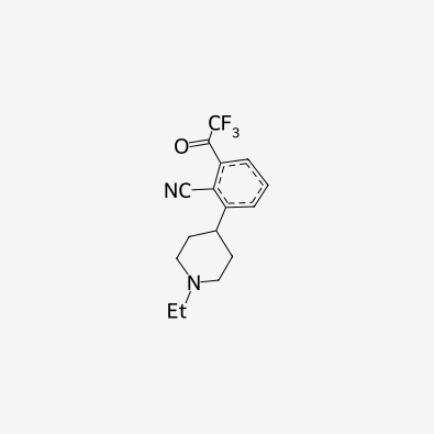 CCN1CCC(c2cccc(C(=O)C(F)(F)F)c2C#N)CC1